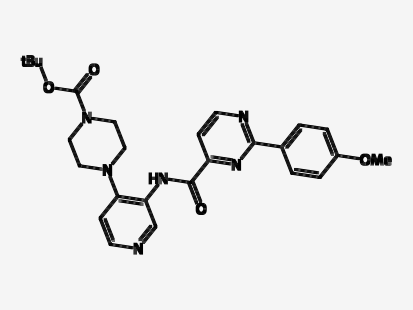 COc1ccc(-c2nccc(C(=O)Nc3cnccc3N3CCN(C(=O)OC(C)(C)C)CC3)n2)cc1